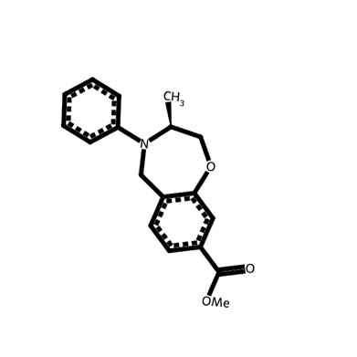 COC(=O)c1ccc2c(c1)OC[C@H](C)N(c1ccccc1)C2